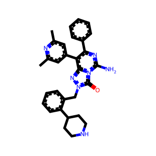 Cc1cc(-c2c(-c3ccccc3)nc(N)n3c(=O)n(Cc4ccccc4C4CCNCC4)nc23)cc(C)n1